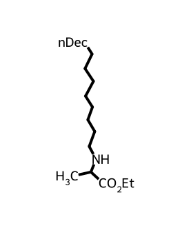 CCCCCCCCCCCCCCCCCCNC(C)C(=O)OCC